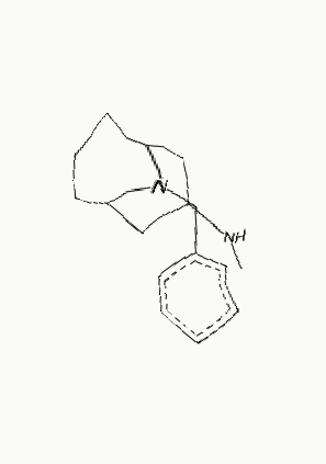 CNC1CC2CCCC(C1)N2Cc1ccccc1